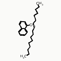 CCCCCCCCCCCCCCCCC.Cc1cccc2ccccc12